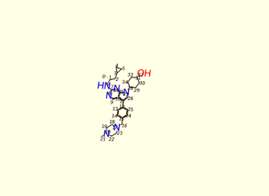 C[C@H](CC1CC1)Nc1ncc2c(-c3ccc(CN4CCN(C)CC4)cc3)cn(C3CCC(O)CC3)c2n1